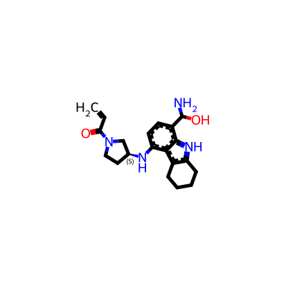 C=CC(=O)N1CC[C@H](Nc2ccc(C(N)O)c3[nH]c4c(c23)CCCC4)C1